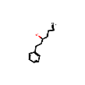 C=CCCC(O)CCc1ccccc1